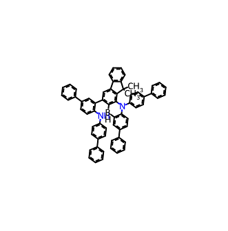 CC1(C)c2ccccc2-c2cc(-c3cc(-c4ccccc4)ccc3Nc3ccc(-c4ccccc4)cc3)c3c(c21)N(c1ccc(-c2ccccc2)cc1)c1ccc(-c2ccccc2)cc1B3